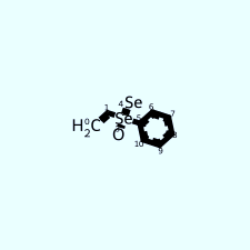 C=C[Se](=O)(=[Se])c1ccccc1